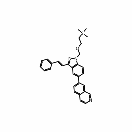 C[Si](C)(C)CCOCn1nc(C=Cc2ccccc2)c2cc(-c3ccc4ccncc4c3)ccc21